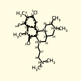 Cc1c(Cl)cc2c3c(c(=O)n(C)c2c1F)N(CCCN(C)C)CC1CN(C)C(C)CN31